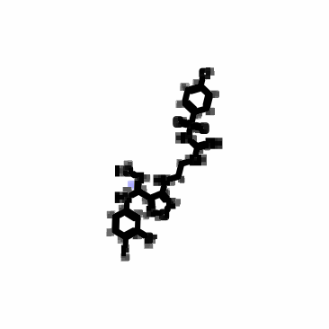 N=C(NCCNc1nonc1/C(=N/O)Nc1ccc(F)c(Br)c1)NS(=O)(=O)c1ccc(Cl)cc1